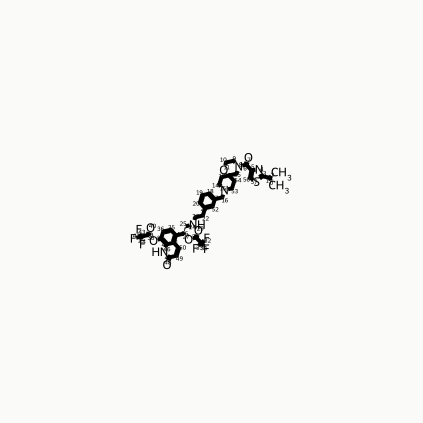 CC(C)c1nc(C(=O)N2CCOC3(CCN(Cc4cccc(CCNC[C@H](OC(=O)C(F)(F)F)c5ccc(OC(=O)C(F)(F)F)c6[nH]c(=O)ccc56)c4)CC3)C2)cs1